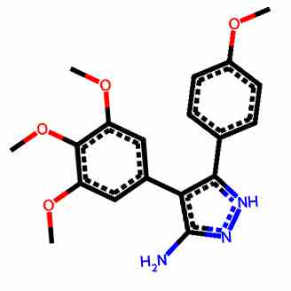 COc1ccc(-c2[nH]nc(N)c2-c2cc(OC)c(OC)c(OC)c2)cc1